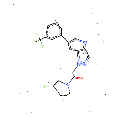 O=C(Cn1ncc2ncc(-c3cccc(C(F)(F)F)c3)cc21)N1CC[C@H](F)C1